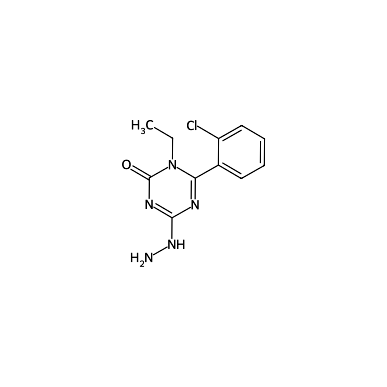 CCn1c(-c2ccccc2Cl)nc(NN)nc1=O